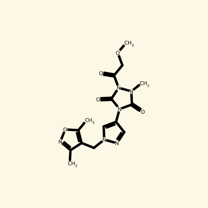 COCC(=O)n1c(=O)n(-c2cnn(Cc3c(C)noc3C)c2)c(=O)n1C